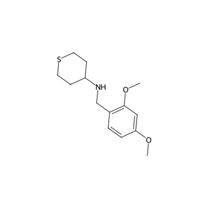 COc1ccc(CNC2CCSCC2)c(OC)c1